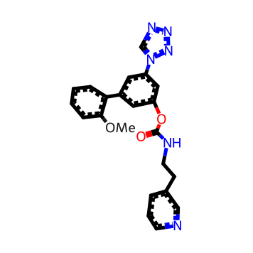 COc1ccccc1-c1cc(OC(=O)NCCc2cccnc2)cc(-n2cnnn2)c1